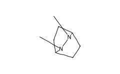 CN1C2CCC(CC2)N1C